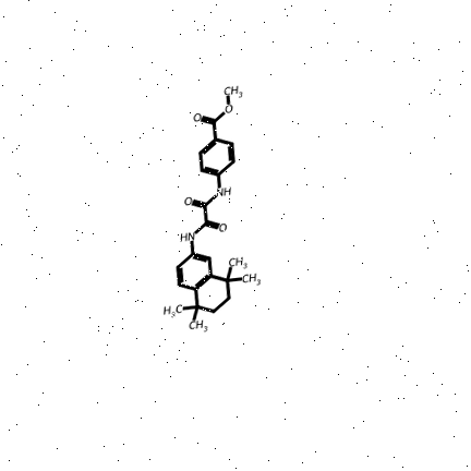 COC(=O)c1ccc(NC(=O)C(=O)Nc2ccc3c(c2)C(C)(C)CCC3(C)C)cc1